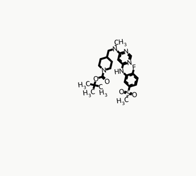 CN(CC1CCN(C(=O)OC(C)(C)C)CC1)c1cc(Nc2cc(S(C)(=O)=O)ccc2F)ncn1